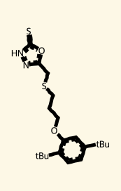 CC(C)(C)c1ccc(C(C)(C)C)c(OCCCSCc2n[nH]c(=S)o2)c1